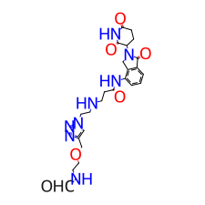 O=CNCCOCc1cn(CCNCCC(=O)Nc2cccc3c2CN(C2CCC(=O)NC2=O)C3=O)nn1